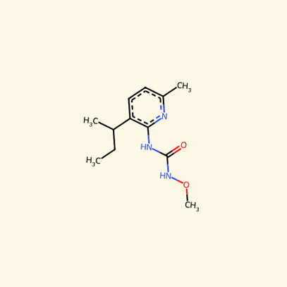 CCC(C)c1ccc(C)nc1NC(=O)NOC